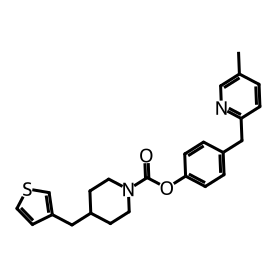 Cc1ccc(Cc2ccc(OC(=O)N3CCC(Cc4ccsc4)CC3)cc2)nc1